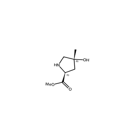 COC(=O)[C@@H]1C[C@@](C)(O)CN1